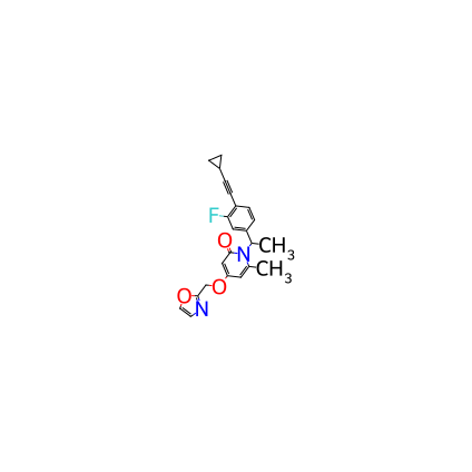 Cc1cc(OCc2ncco2)cc(=O)n1C(C)c1ccc(C#CC2CC2)c(F)c1